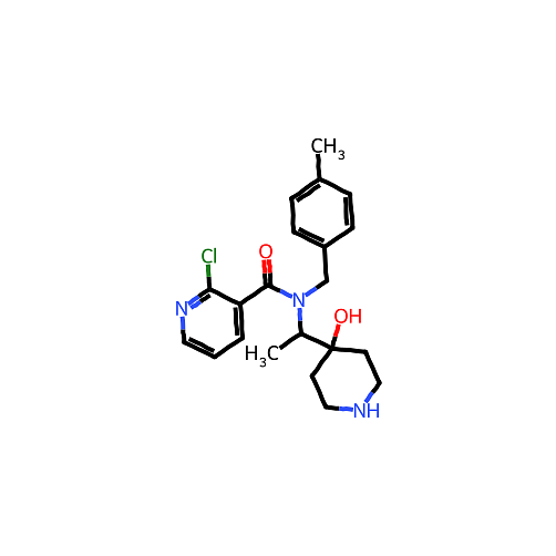 Cc1ccc(CN(C(=O)c2cccnc2Cl)C(C)C2(O)CCNCC2)cc1